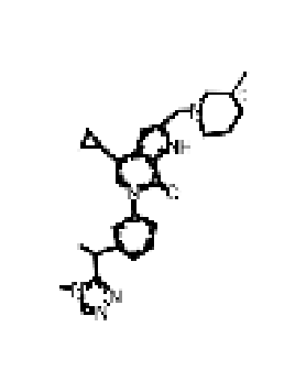 CC(c1cccc(-n2cc(C3CC3)c3cc(CN4CCC[C@H](C)C4)[nH]c3c2=O)c1)c1nncn1C